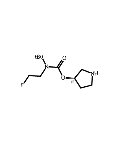 CC(C)(C)N(CCF)C(=O)O[C@@H]1CCNC1